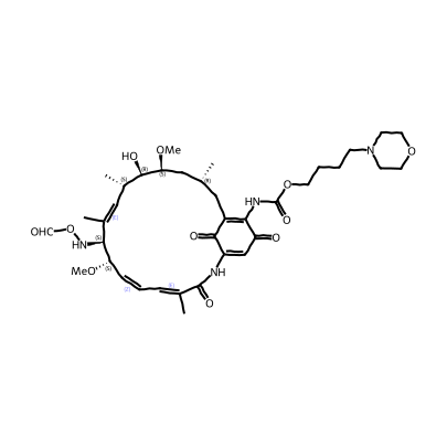 CO[C@H]1/C=C\C=C(/C)C(=O)NC2=CC(=O)C(NC(=O)OCCCCN3CCOCC3)=C(C[C@@H](C)C[C@H](OC)[C@H](O)[C@@H](C)/C=C(\C)[C@@H]1NOC=O)C2=O